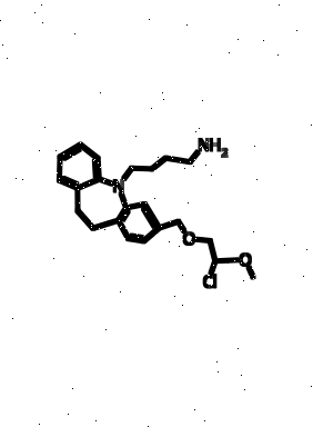 COC(Cl)COCc1ccc2c(c1)N(CCCCN)c1ccccc1CC2